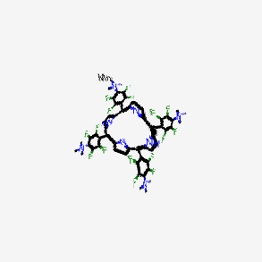 C[N+](C)(C)c1c(F)c(F)c(-c2c3nc(c(-c4c(F)c(F)c([N+](C)(C)C)c(F)c4F)c4ccc([nH]4)c(-c4c(F)c(F)c([N+](C)(C)C)c(F)c4F)c4nc(c(-c5c(F)c(F)c([N+](C)(C)C)c(F)c5F)c5ccc2[nH]5)C=C4)C=C3)c(F)c1F.[Mn]